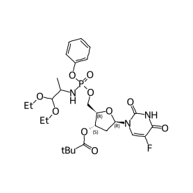 CCOC(OCC)C(C)NP(=O)(OC[C@H]1O[C@@H](n2cc(F)c(=O)[nH]c2=O)C[C@@H]1OC(=O)C(C)(C)C)Oc1ccccc1